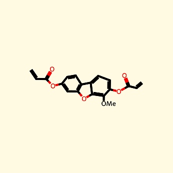 C=CC(=O)Oc1ccc2c(c1)oc1c(OC)c(OC(=O)C=C)ccc12